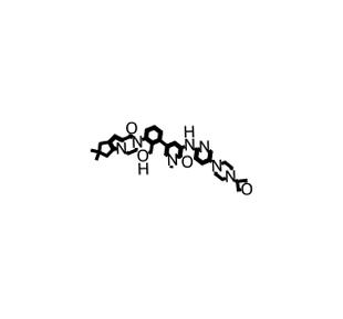 Cn1cc(-c2cccc(N3CCn4c(cc5c4CC(C)(C)C5)C3=O)c2CO)cc(Nc2ccc(N3CCN(C4COC4)CC3)cn2)c1=O